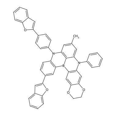 Cc1cc2c3c(c1)N(c1ccccc1)c1cc4c(cc1B3c1cc(-c3cc5ccccc5o3)ccc1N2c1ccc(-c2cc3ccccc3o2)cc1)OCCO4